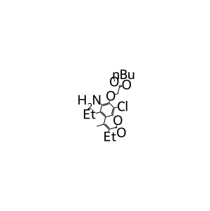 CCCCOC(=O)COc1c(N)c(CC)c2c(C)c(CC)c(=O)oc2c1Cl